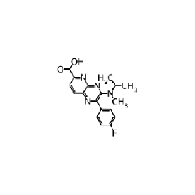 CC(C)N(C)c1nc2nc(C(=O)O)ccc2nc1-c1ccc(F)cc1